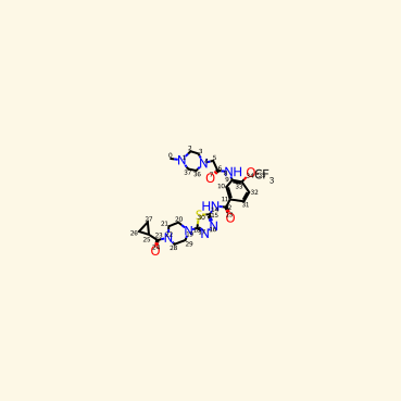 CN1CCN(CC(=O)Nc2cc(C(=O)Nc3nnc(N4CCN(C(=O)C5CC5)CC4)s3)ccc2OC(F)(F)F)CC1